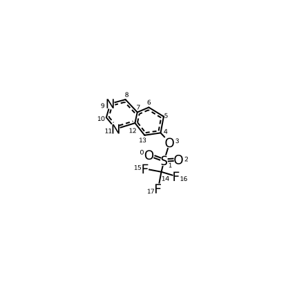 O=S(=O)(Oc1ccc2cncnc2c1)C(F)(F)F